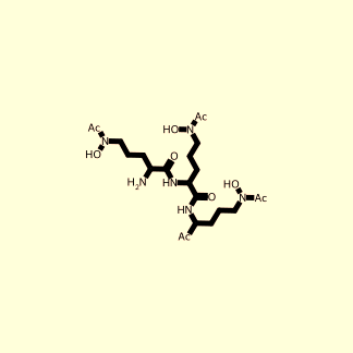 CC(=O)C(CCCN(O)C(C)=O)NC(=O)C(CCCN(O)C(C)=O)NC(=O)C(N)CCCN(O)C(C)=O